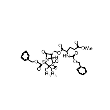 COC(=O)CCC(NC(=O)OCc1ccccc1)C(=O)OC[C@H]1C(=O)N2[C@@H](C(=O)OCc3ccccc3)C(C)(C)S(=O)(=O)[C@H]12